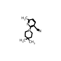 Cc1ccc(C#N)c(N2CCC(C)(C)CC2)n1